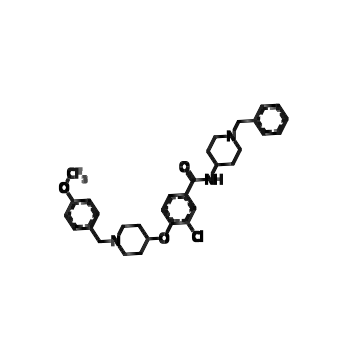 O=C(NC1CCN(Cc2ccccc2)CC1)c1ccc(OC2CCN(Cc3ccc(OC(F)(F)F)cc3)CC2)c(Cl)c1